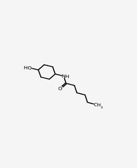 CCCCCC(=O)NC1CCC(O)CC1